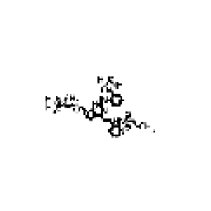 CCCS(=O)(=O)Nc1ncccc1/C=C/c1nc(Nc2ccccc2C(=O)NC)nc2c1ccn2COCC[Si](C)(C)C